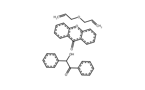 C=CCOCC=C.O=C(c1ccccc1)C(O)c1ccccc1.O=c1c2ccccc2oc2ccccc12